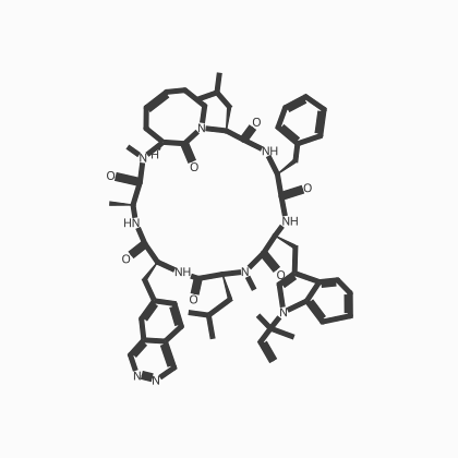 C=CC(C)(C)n1cc(C[C@@H]2NC(=O)[C@H](Cc3ccccc3)NC(=O)[C@H](CC(C)C)N3CC/C=C\C[C@@H](C3=O)N(C)C(=O)[C@H](C)NC(=O)[C@H](Cc3ccc4cnncc4c3)NC(=O)[C@H](CC(C)C)N(C)C2=O)c2ccccc21